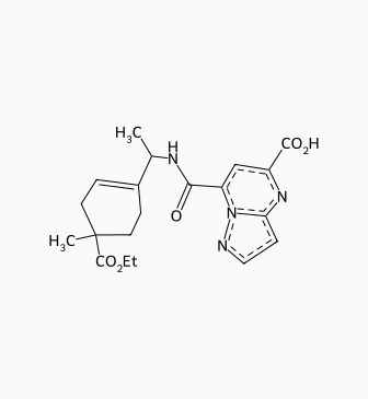 CCOC(=O)C1(C)CC=C(C(C)NC(=O)c2cc(C(=O)O)nc3ccnn23)CC1